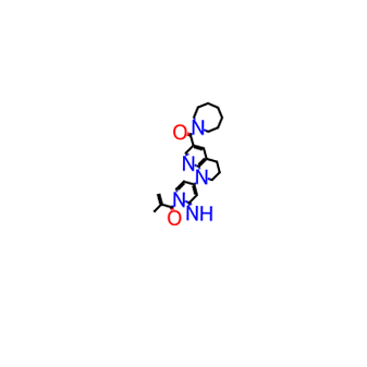 C=C(C)C(=O)n1ccc(N2CCCc3cc(C(=O)N4CCCCCCC4)cnc32)cc1=N